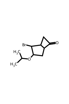 CC(C)OC1CC2C(=O)CC2C1Br